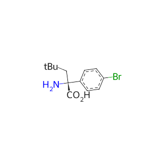 CC(C)(C)C[C@](N)(C(=O)O)c1ccc(Br)cc1